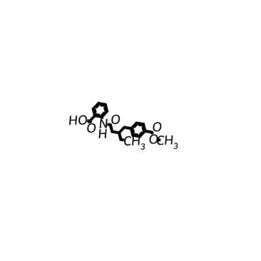 CCC(CC(=O)Nc1ccccc1C(=O)O)Cc1ccc(C(=O)OC)cc1